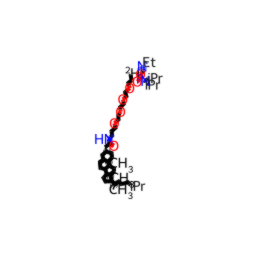 [2H]CC(COCCOCCOCCOCCCNC(=O)C[C@H]1CC[C@@]2(C)C(=CCC3C4CCC([C@H](C)CCCC(C)C)[C@@]4(C)CCC32)C1)OP(O/C=N/CC)N(C(C)C)C(C)C